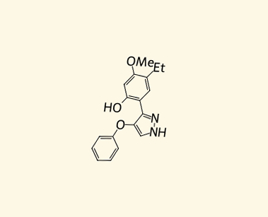 CCc1cc(-c2n[nH]cc2Oc2ccccc2)c(O)cc1OC